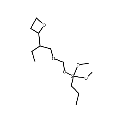 CCC[Si](OC)(OC)OCOCC(CC)C1CCO1